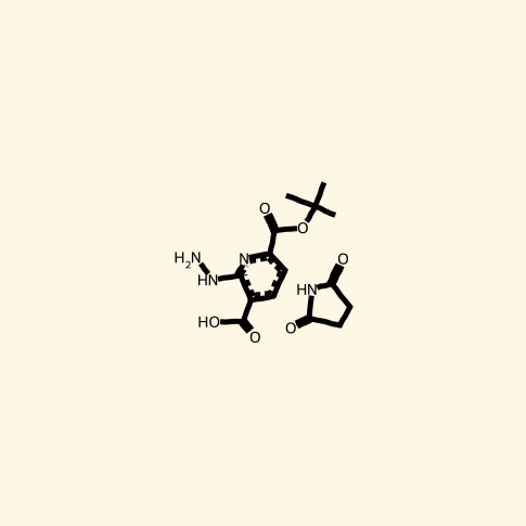 CC(C)(C)OC(=O)c1ccc(C(=O)O)c(NN)n1.O=C1CCC(=O)N1